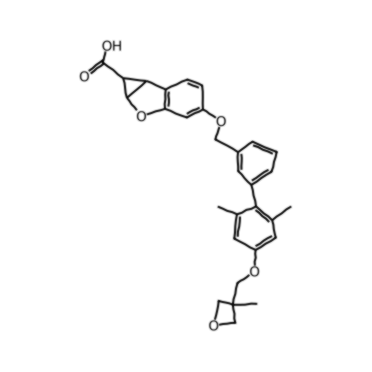 Cc1cc(OCC2(C)COC2)cc(C)c1-c1cccc(COc2ccc3c(c2)OC2C(C(=O)O)C32)c1